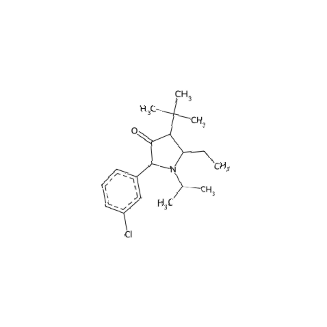 CCC1C(C(C)(C)C)C(=O)C(c2cccc(Cl)c2)N1C(C)C